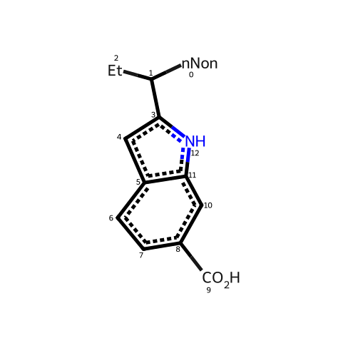 CCCCCCCCCC(CC)c1cc2ccc(C(=O)O)cc2[nH]1